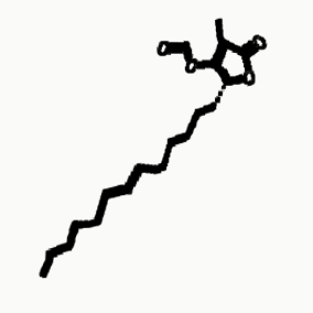 CCCCCCCCCCCCC[C@H]1OC(=O)C(C)=C1OC=O